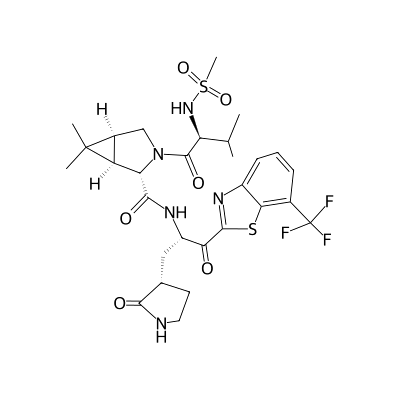 CC(C)[C@H](NS(C)(=O)=O)C(=O)N1C[C@H]2[C@@H]([C@H]1C(=O)N[C@@H](C[C@@H]1CCNC1=O)C(=O)c1nc3cccc(C(F)(F)F)c3s1)C2(C)C